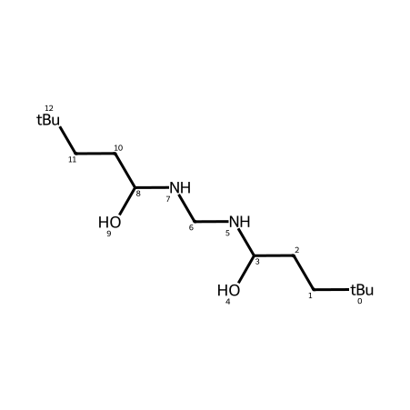 CC(C)(C)CCC(O)NCNC(O)CCC(C)(C)C